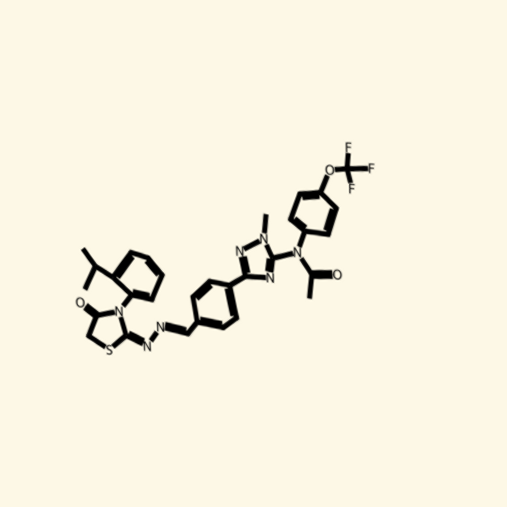 CC(=O)N(c1ccc(OC(F)(F)F)cc1)c1nc(-c2ccc(C=NN=C3SCC(=O)N3c3ccccc3C(C)C)cc2)nn1C